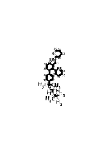 CC(C)(C)OC(=O)NC(C)(C)c1ccc(-c2ccc3nn(C4CCCCO4)cc3c2-c2ccccn2)cc1